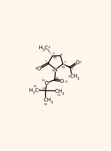 CC(=O)[C@@H]1C[C@@H](C)C(=O)N1C(=O)OC(C)(C)C